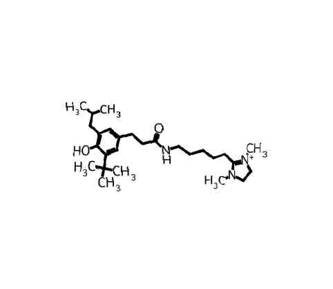 CC(C)Cc1cc(CCC(=O)NCCCCCC2=[N+](C)CCN2C)cc(C(C)(C)C)c1O